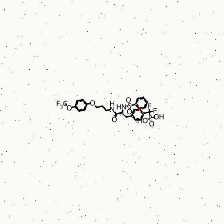 O=C(NCCCOc1ccc(OC(F)(F)F)cc1)[C@H](Cc1ccc(C(F)(F)P(=O)(O)O)cc1)NS(=O)(=O)c1ccccc1